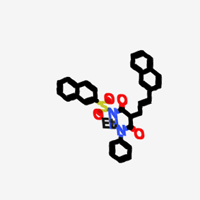 CCN(C(=O)C(CC=Cc1ccc2ccccc2c1)C(=O)NS(=O)(=O)c1ccc2ccccc2c1)c1ccccc1